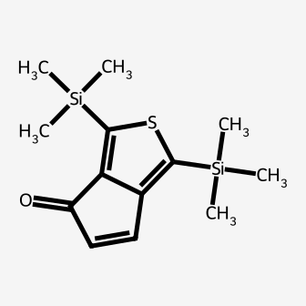 C[Si](C)(C)c1sc([Si](C)(C)C)c2c1C=CC2=O